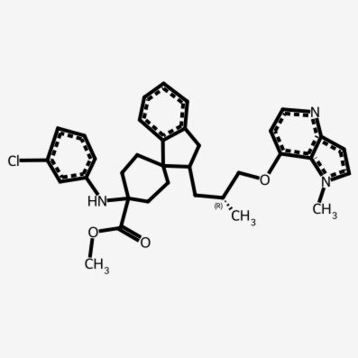 COC(=O)C1(Nc2cccc(Cl)c2)CCC2(CC1)c1ccccc1CC2C[C@@H](C)COc1ccnc2ccn(C)c12